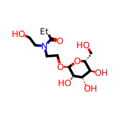 CCC(=O)N(CCO)CCO[C@H]1O[C@H](CO)[C@@H](O)[C@H](O)[C@@H]1O